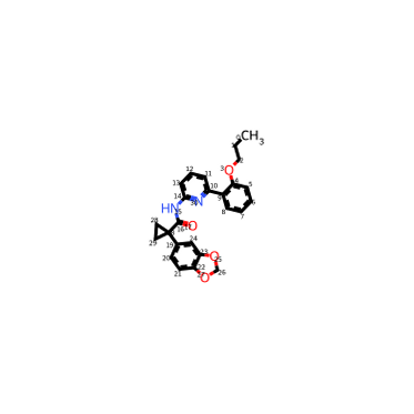 CCCOc1ccccc1-c1cccc(NC(=O)C2(c3ccc4c(c3)OCO4)CC2)n1